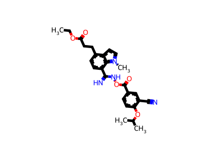 CCOC(=O)CCc1ccc(C(=N)NOC(=O)c2ccc(OC(C)C)c(C#N)c2)c2c1ccn2C